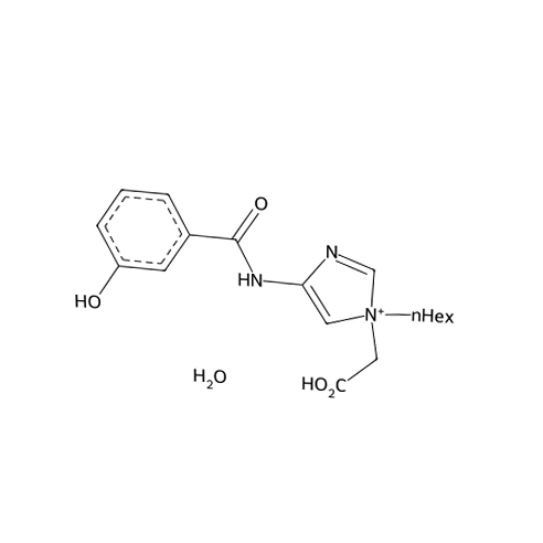 CCCCCC[N+]1(CC(=O)O)C=NC(NC(=O)c2cccc(O)c2)=C1.O